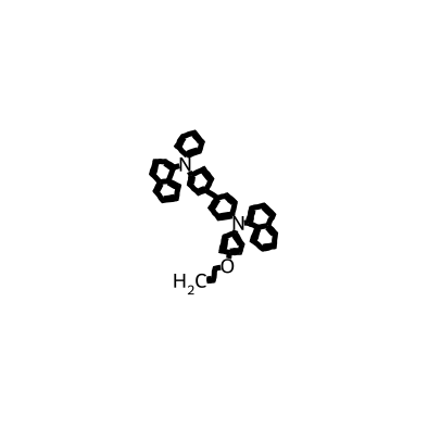 C=CCOc1ccc(N(c2ccc(-c3ccc(N(c4ccccc4)c4cccc5ccccc45)cc3)cc2)c2cccc3ccccc23)cc1